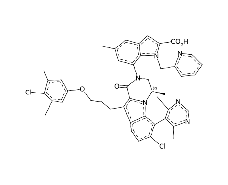 Cc1cc(N2C[C@@H](C)n3c(c(CCCOc4cc(C)c(Cl)c(C)c4)c4ccc(Cl)c(-c5c(C)ncnc5C)c43)C2=O)c2c(c1)cc(C(=O)O)n2Cc1ccccn1